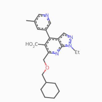 CCn1ncc2c(-c3cncc(C)c3)c(C(=O)O)c(COCC3CCCCC3)nc21